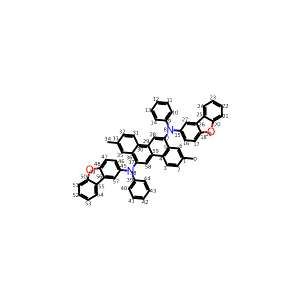 Cc1ccc2c(c1)c(N(c1ccccc1)c1ccc3oc4ccccc4c3c1)cc1c3ccc(C)cc3c(N(c3ccccc3)c3ccc4oc5ccccc5c4c3)cc21